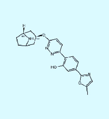 Cc1cnc(-c2ccc(-c3ccc(O[C@H]4CC5CC[C@H](C4)N5)nn3)c(O)c2)o1